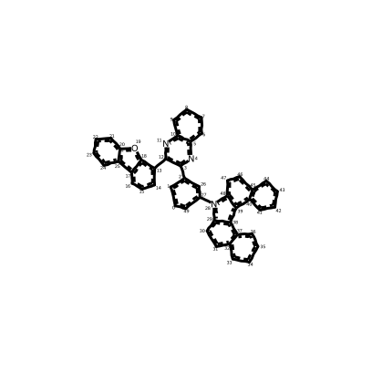 c1cc(-c2nc3ccccc3nc2-c2cccc3c2oc2ccccc23)cc(-n2c3ccc4ccccc4c3c3c4ccccc4ccc32)c1